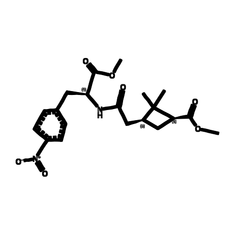 COC(=O)[C@H](Cc1ccc([N+](=O)[O-])cc1)NC(=O)C[C@@H]1C[C@H](C(=O)OC)C1(C)C